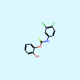 Oc1ccccc1OC(=S)Nc1ccc(Cl)c(Cl)c1